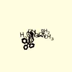 BC1CN(C)CC(COCP(=O)(N(C)C)N2CCN(C(c3ccccc3)(c3ccccc3)c3ccccc3)CC2)O1